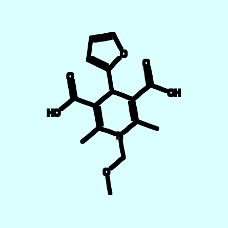 COCN1C(C)=C(C(=O)O)C(c2ccco2)C(C(=O)O)=C1C